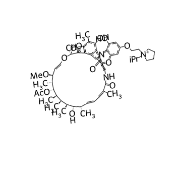 CO[C@H]1/C=C/O[C@@]2(C)Oc3c(C)c(O)c4c(=O)c(c5oc6cc(OCC[N+]7(C(C)C)CCCC7)cc(O)c6nc-5c4c3C2=O)NC(=O)/C(C)=C\C=C\[C@H](C)[C@H](O)[C@@H](C)[C@@H](C)[C@@H](C)[C@H](OC(C)=O)[C@@H]1C